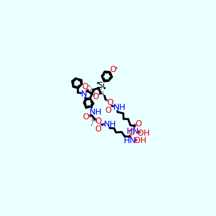 COc1ccc([Si](C)(C)[C@H]2[C@H](CCOC(=O)NCCCCCC(=O)NO)O[C@]3(C(=O)N(Cc4ccccc4)c4ccc(NC(=O)[C@@H](C)OC(=O)NCCCCCC(=O)NO)cc43)[C@@H]2C)cc1